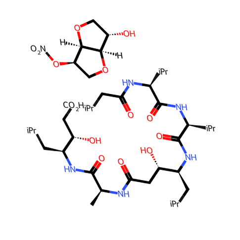 CC(C)CC(=O)N[C@H](C(=O)N[C@H](C(=O)N[C@@H](CC(C)C)[C@@H](O)CC(=O)N[C@@H](C)C(=O)N[C@@H](CC(C)C)[C@@H](O)CC(=O)O)C(C)C)C(C)C.O=[N+]([O-])O[C@@H]1CO[C@H]2[C@@H]1OC[C@@H]2O